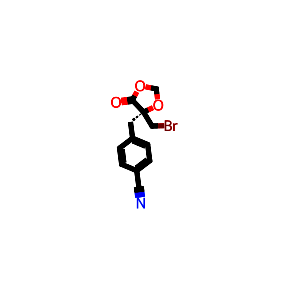 N#Cc1ccc(C[C@@]2(CBr)OCOC2=O)cc1